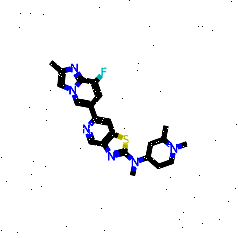 Cc1cn2cc(-c3cc4sc(N(C)C5CCN(C)C(C)C5)nc4cn3)cc(F)c2n1